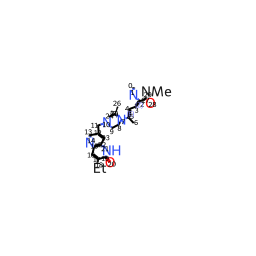 C=N/C(=C\C=C(/C)N1CCN(Cc2cnc3cc(CC)c(=O)[nH]c3c2)C[C@H]1C)C(=O)NC